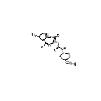 CCc1ccc2c(=O)n(CC(=O)N[C@H]3CC[C@H](O)CC3)nc(CC)c2c1